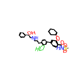 CS(=O)(=O)NC(=O)c1ccc(-c2ccc(CCCNC[C@H](O)c3ccccc3)cc2)cc1OC1CCCCC1.Cl